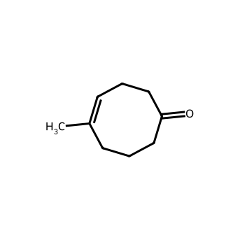 C/C1=C/CCC(=O)CCC1